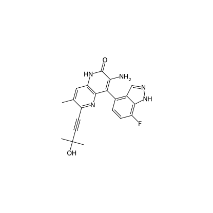 Cc1cc2[nH]c(=O)c(N)c(-c3ccc(F)c4[nH]ncc34)c2nc1C#CC(C)(C)O